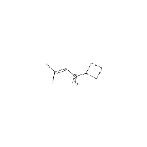 CC(C)=C[SiH2]C1CCC1